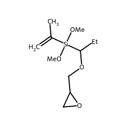 C=C(C)[Si](OC)(OC)C(CC)OCC1CO1